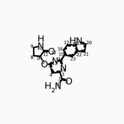 NC(=O)c1cc(O[C@H]2CCNC2=O)nc(-c2ccc3[nH]ccc3c2)n1